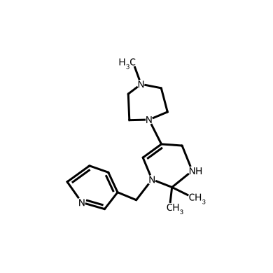 CN1CCN(C2=CN(Cc3cccnc3)C(C)(C)NC2)CC1